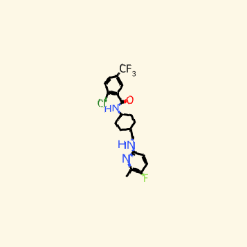 Cc1nc(NCC2CCC(NC(=O)c3cc(C(F)(F)F)ccc3Cl)CC2)ccc1F